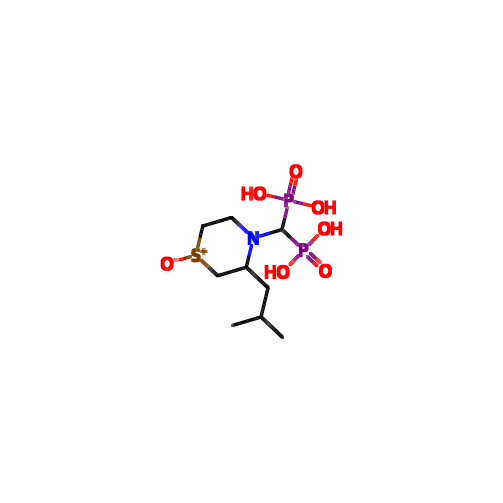 CC(C)CC1C[S+]([O-])CCN1C(P(=O)(O)O)P(=O)(O)O